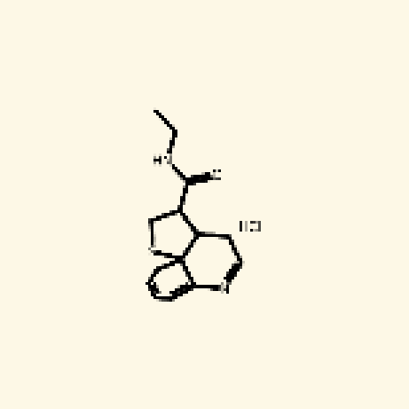 CCNC(=O)C1CSC23CC=CC=C2N=CCC13.Cl